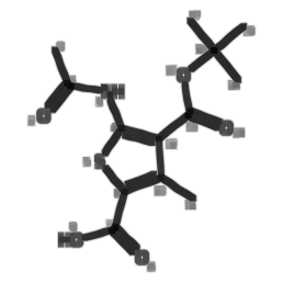 CC(=O)Nc1sc(C(=O)O)c(C)c1C(=O)OC(C)(C)C